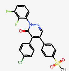 CS(=O)(=O)c1ccc(-c2cnn(-c3cccc(F)c3F)c(=O)c2-c2ccc(Cl)cc2)cc1